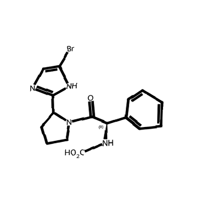 O=C(O)N[C@@H](C(=O)N1CCCC1c1ncc(Br)[nH]1)c1ccccc1